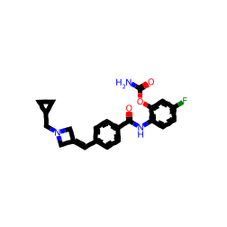 NC(=O)Oc1cc(F)ccc1NC(=O)c1ccc(C=C2CN(CC3CC3)C2)cc1